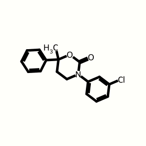 CC1(c2ccccc2)CCN(c2cccc(Cl)c2)C(=O)O1